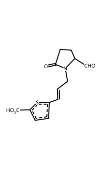 O=CC1CCC(=O)N1CC=Cc1ccc(C(=O)O)s1